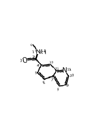 CNC(=O)c1ccc2cccnc2c1